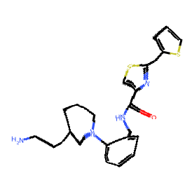 NCCC1CCCN(c2ccccc2NC(=O)c2csc(-c3cccs3)n2)C1